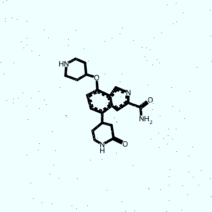 NC(=O)c1cc2c(C3CCNC(=O)C3)ccc(OC3CCNCC3)c2cn1